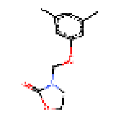 Cc1cc(C)cc(OCN2CCOC2=O)c1